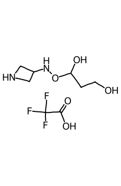 O=C(O)C(F)(F)F.OCCC(O)ONC1CNC1